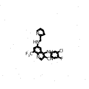 N#Cc1cnc2c(C(F)(F)F)cc(NCc3ccccn3)cc2c1Nc1ccc(F)c(Cl)c1